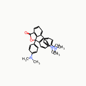 CN(C)c1ccc(-c2cccc3c2C(c2ccc(N(C)C)cc2)(c2ccc(N(C)C)cc2)OC3=O)cc1